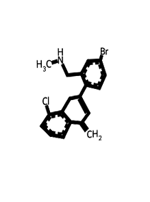 C=C1C=C(c2ccc(Br)cc2CNC)Cc2c(Cl)cccc21